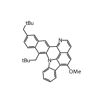 COc1cc2ccnc3c4cc5cc(CC(C)(C)C)ccc5c(CC(C)(C)C)c4n4c5ccccc5c1c4c23